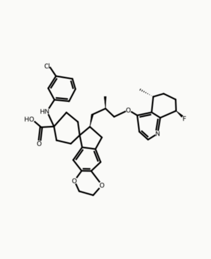 C[C@@H](COc1ccnc2c1[C@H](C)CC[C@H]2F)C[C@H]1Cc2cc3c(cc2C12CCC(Nc1cccc(Cl)c1)(C(=O)O)CC2)OCCO3